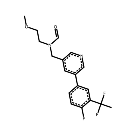 COCCN(C=O)Cc1cncc(-c2ccc(F)c(C(C)(F)F)c2)c1